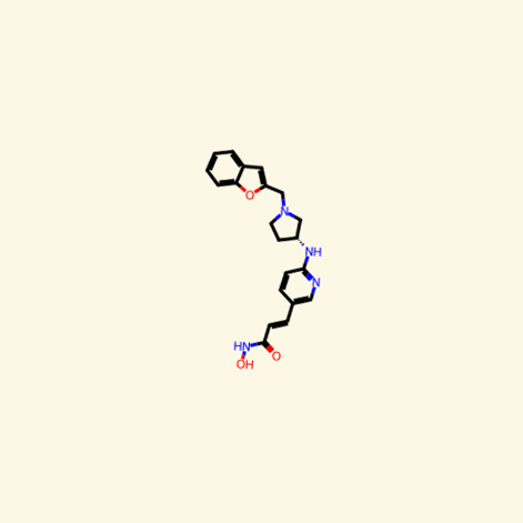 O=C(C=Cc1ccc(N[C@@H]2CCN(Cc3cc4ccccc4o3)C2)nc1)NO